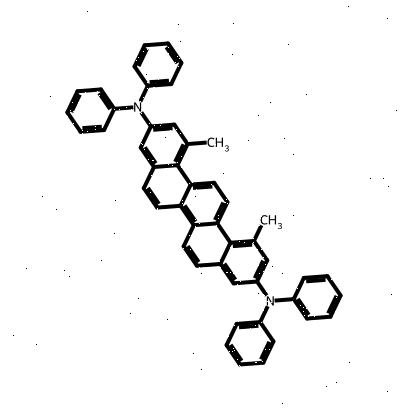 Cc1cc(N(c2ccccc2)c2ccccc2)cc2ccc3c4ccc5cc(N(c6ccccc6)c6ccccc6)cc(C)c5c4ccc3c12